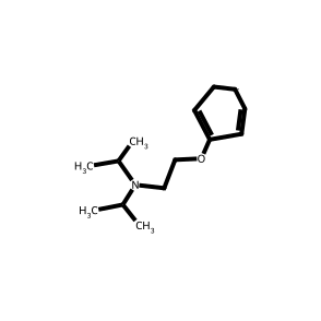 CC(C)N(CCOC1=CC[CH]C=C1)C(C)C